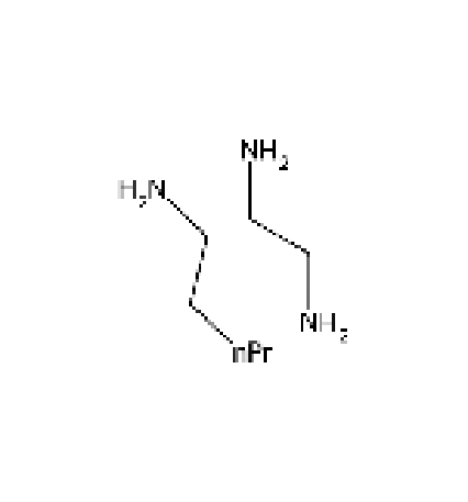 CCCCCN.NCCN